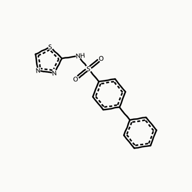 O=S(=O)(Nc1nncs1)c1ccc(-c2ccccc2)cc1